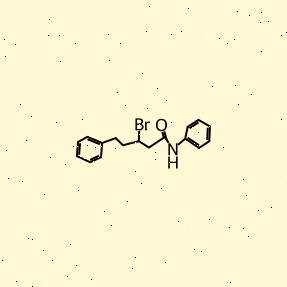 O=C(CC(Br)CCc1ccccc1)Nc1ccccc1